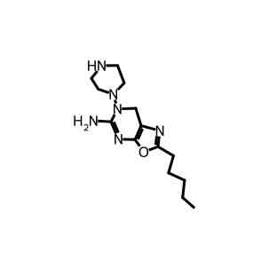 CCCCCc1nc2c(o1)N=C(N)N(N1CCNCC1)C2